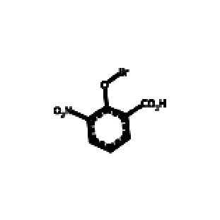 O=C(O)c1cccc([N+](=O)[O-])c1OBr